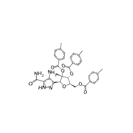 Cc1ccc(C(=O)OC[C@H]2O[C@@H](c3n[nH]c(C(N)=O)c3N)[C@](C)(OC(=O)c3ccc(C)cc3)[C@@H]2OC(=O)c2ccc(C)cc2)cc1